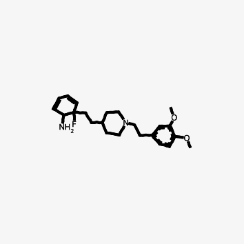 COc1ccc(CCN2CCC(CCC3(F)C=CC=CC3N)CC2)cc1OC